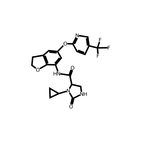 O=C(Nc1cc(Oc2ccc(C(F)(F)F)cn2)cc2c1OCC2)C1CNC(=O)N1C1CC1